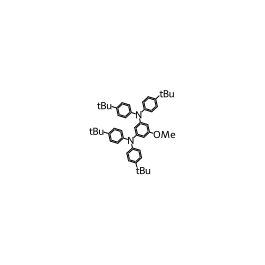 COc1cc(N(c2ccc(C(C)(C)C)cc2)c2ccc(C(C)(C)C)cc2)cc(N(c2ccc(C(C)(C)C)cc2)c2ccc(C(C)(C)C)cc2)c1